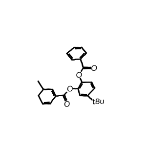 CC1C=C(C(=O)Oc2cc(C(C)(C)C)ccc2OC(=O)c2ccccc2)C=CC1